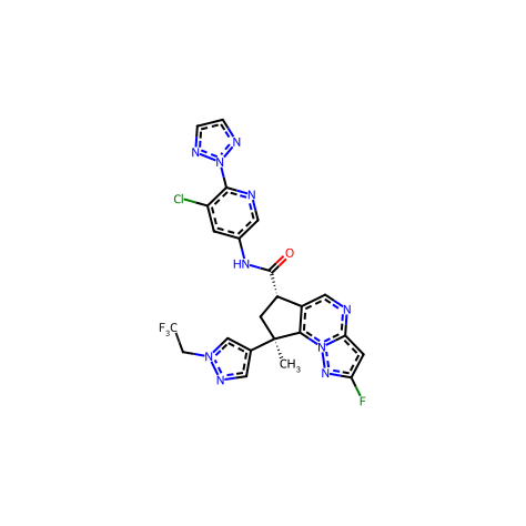 C[C@]1(c2cnn(CC(F)(F)F)c2)C[C@H](C(=O)Nc2cnc(-n3nccn3)c(Cl)c2)c2cnc3cc(F)nn3c21